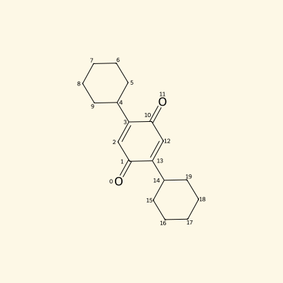 O=C1C=C(C2CCCCC2)C(=O)C=C1C1CCCCC1